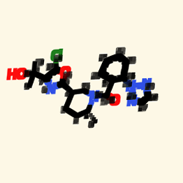 C[C@@H]1CC[C@@H](c2nc(C(C)(C)O)c(Cl)o2)CN1C(=O)c1ccccc1-n1nccn1